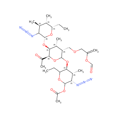 C=C(COC[C@@H]1C(O[C@@H]2C(CC)OC(OC(C)=O)[C@@H](N=[N+]=[N-])[C@H]2C)O[C@@H](C(C)=O)[C@@H](O[C@H]2O[C@@H](CC)[C@@H](C)[C@H](C)C2N=[N+]=[N-])[C@@H]1C)OC=O